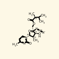 Cc1ccn([C@@H]2O[C@@](COC(=O)[C@@H](C)C(C)C)(N=[N+]=[N-])[C@@H](O)[C@@H]2C)c(=O)n1